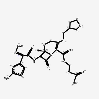 CO/N=C(\C(=O)NC1C(=O)N2C(C(=O)OCOC(=O)C(C)(C)C)=C(SCC3CCOC3)CS[C@@H]12)c1csc(N)n1